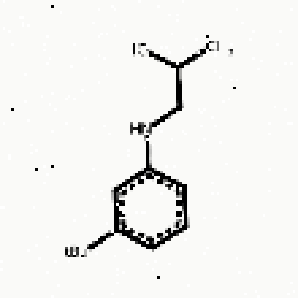 CC(O)CNc1cccc(C(C)(C)C)c1